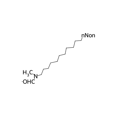 CCCCCCCCCCCCCCCCCCCCN(C)[C]=O